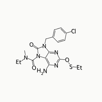 CCSOc1nc(N)c2c(n1)n(Cc1ccc(Cl)cc1)c(=O)n2C(=O)N(C)CC